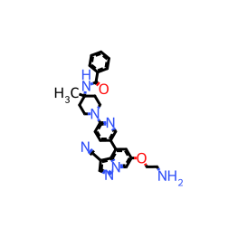 CC1(NC(=O)c2ccccc2)CCN(c2ccc(-c3cc(OCCN)cn4ncc(C#N)c34)cn2)CC1